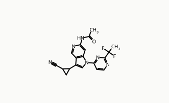 CC(=O)Nc1cc2c(cn1)c(C1CC1C#N)cn2-c1ccnc(C(C)(F)F)n1